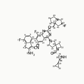 N#Cc1c(N)sc2c(F)ccc(-c3c(Cl)cc4c(N5CCC6(CCN6C(=O)[C@@H]6N[C@H]6C6CC6)C5)nc(OC[C@@]56CCCN5C[C@H](F)C6)nc4c3F)c12